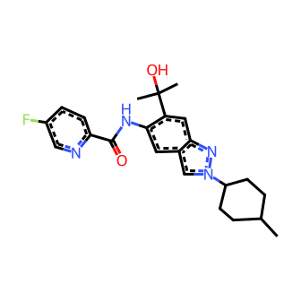 CC1CCC(n2cc3cc(NC(=O)c4ccc(F)cn4)c(C(C)(C)O)cc3n2)CC1